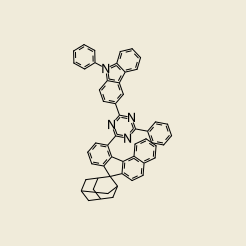 c1ccc(-c2nc(-c3ccc4c(c3)c3ccccc3n4-c3ccccc3)nc(-c3cccc4c3-c3c(ccc5ccccc35)C43C4CC5CC(C4)CC3C5)n2)cc1